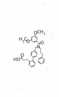 COc1cc(OC)cc(C(=O)N(CCCc2ccccc2)Cc2ccc(-c3ccccc3CCC(=O)O)cc2)c1